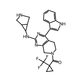 O=C(N1CCc2c(nc(NC3C4CNCC43)nc2-c2c[nH]c3ccccc23)C1)C1(C(F)(F)F)CC1